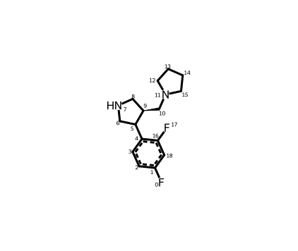 Fc1ccc(C2CNC[C@H]2CN2CCCC2)c(F)c1